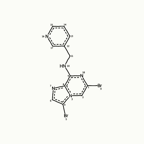 Brc1cn2c(Br)cnc2c(NCc2cccnc2)n1